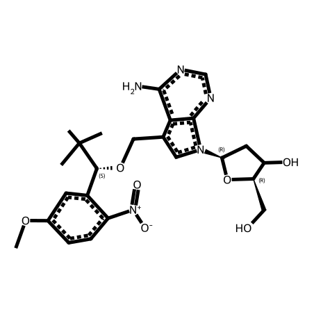 COc1ccc([N+](=O)[O-])c([C@@H](OCc2cn([C@H]3CC(O)[C@@H](CO)O3)c3ncnc(N)c23)C(C)(C)C)c1